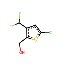 OCc1sc(Cl)cc1C(F)F